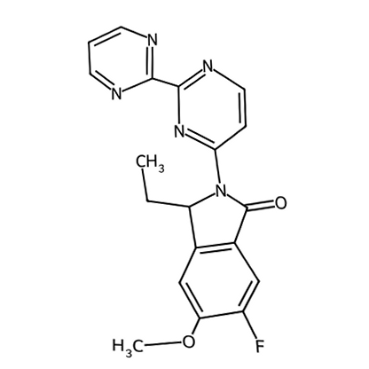 CCC1c2cc(OC)c(F)cc2C(=O)N1c1ccnc(-c2ncccn2)n1